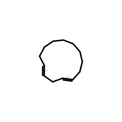 [C]1=C/C/C=C/CCCCCCCC/1